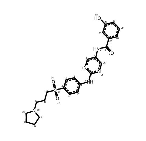 O=C(Nc1cnc(Nc2ccc(S(=O)(=O)CCCN3CCCC3)cc2)nc1)c1cccc(O)c1